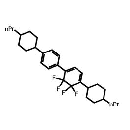 CCCC1CCC(C2=CC=C(c3ccc(C4CCC(CCC)CC4)cc3)C(F)(F)C2(F)F)CC1